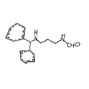 O=[C]NCCCNC(c1ccccc1)c1ccccc1